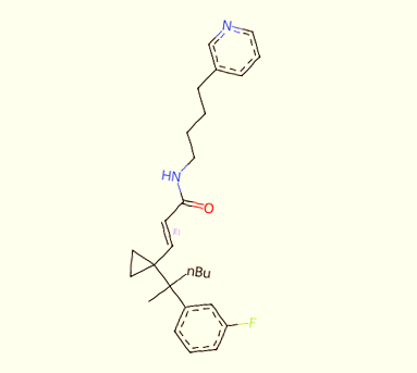 CCCCC(C)(c1cccc(F)c1)C1(/C=C/C(=O)NCCCCc2cccnc2)CC1